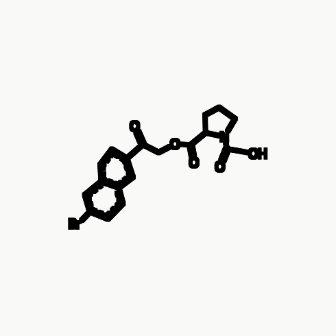 O=C(COC(=O)C1CCCN1C(=O)O)c1ccc2cc(Br)ccc2c1